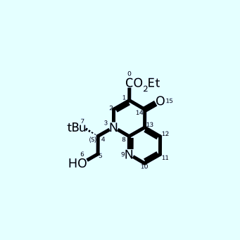 CCOC(=O)c1cn([C@H](CO)C(C)(C)C)c2ncccc2c1=O